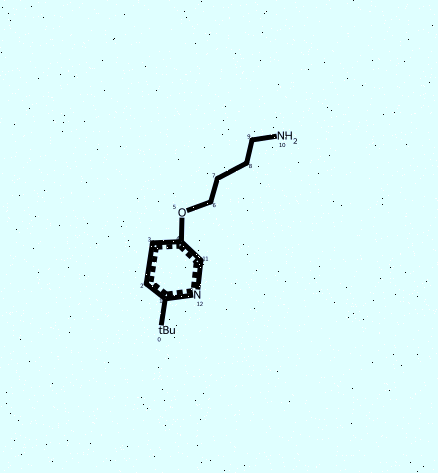 CC(C)(C)c1ccc(OCCCCN)cn1